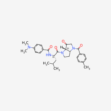 Cc1ccc(C(=O)N2CC(=O)[C@@H]3C2CCN3C(=O)[C@H](CC(C)C)NC(=O)c2ccc(N(C)C)cc2)cc1